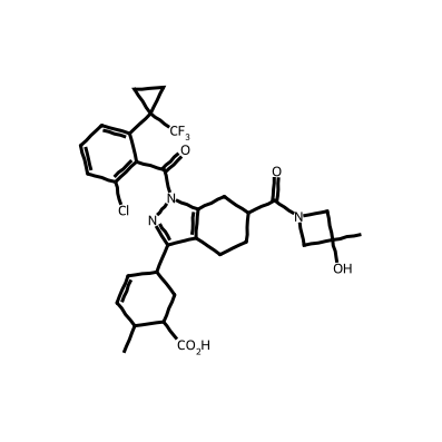 CC1C=CC(c2nn(C(=O)c3c(Cl)cccc3C3(C(F)(F)F)CC3)c3c2CCC(C(=O)N2CC(C)(O)C2)C3)CC1C(=O)O